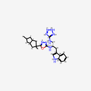 CC1CC2CC(C)(c3nnc(N[C@H](CNc4nn[nH]n4)Cc4c[nH]c5ccccc45)o3)CC2C1